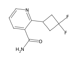 NC(=O)c1cccnc1C1CC(F)(F)C1